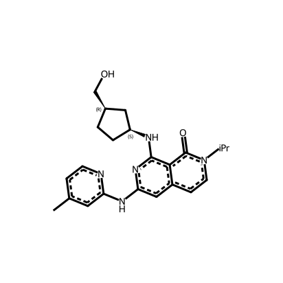 Cc1ccnc(Nc2cc3ccn(C(C)C)c(=O)c3c(N[C@H]3CC[C@@H](CO)C3)n2)c1